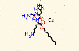 CCCCCCCCOC(=O)[C@H](CCCCN)NC(=O)[C@H](CC1=NC=NC1)NC(=O)CN.[Cu]